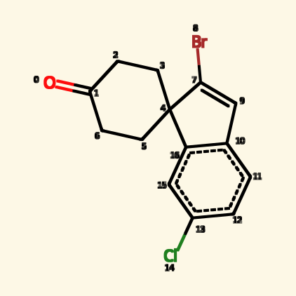 O=C1CCC2(CC1)C(Br)=Cc1ccc(Cl)cc12